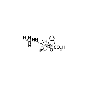 CC(C)C[C@H](NC(=O)[C@@H](N)CCCNC(=N)N)C(=O)N[C@@H](Cc1ccccc1)C(=O)O